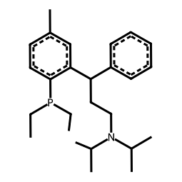 CCP(CC)c1ccc(C)cc1C(CCN(C(C)C)C(C)C)c1ccccc1